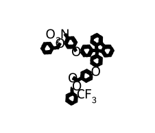 O=C(OCc1ccccc1C(F)(F)F)c1ccc(Oc2ccc(C3(c4ccc(Oc5ccc([N+](=O)[O-])c(OCc6ccccc6)c5)cc4)c4ccccc4-c4ccccc43)cc2)cc1